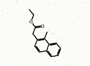 CCOC(=O)Cc1ccc2ccccc2c1C